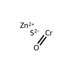 [O]=[Cr].[S-2].[Zn+2]